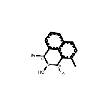 Cc1ccc2cccc3c2c1[C@H](C(C)C)N(O)[C@H]3C(C)C